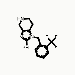 [2H]c1nc2c(n1Cc1ccccc1C(F)(F)F)CCNC2